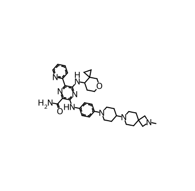 CN1CC2(CCN(C3CCN(c4ccc(Nc5nc(NC6CCOCC67CC7)c(-c6ccccn6)nc5C(N)=O)cc4)CC3)CC2)C1